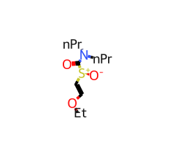 CCCN(CCC)C(=O)[S@@+]([O-])C=COCC